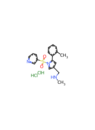 CNCc1cc(-c2ccccc2C)n(S(=O)(=O)c2cccnc2)c1.Cl.Cl